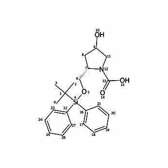 CC(C)(C)[Si](OC[C@@H]1CC(O)CN1C(=O)O)(c1ccccc1)c1ccccc1